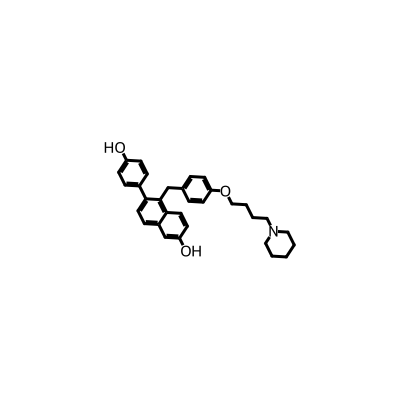 Oc1ccc(-c2ccc3cc(O)ccc3c2Cc2ccc(OCCCCN3CCCCC3)cc2)cc1